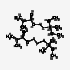 C=C(C)C(=O)OCCC[Si](C)(C)OC.C=C(C)C(=O)OCC[Si](C)(OC)OC